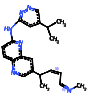 C/N=C\C=C/C(C)c1cnc2ccc(Nc3cc(C(C)C)cnn3)nc2c1